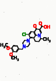 COc1ccc(CN2CCN(c3c(Cl)cc4c(=O)c(C(=O)O)cn5c4c3CCC5C)CC2)cc1OC